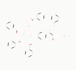 CCCCCCOc1c(OCc2ccccc2)c2ccc(O[C@@H]3O[C@H](COC(=O)c4ccccc4)[C@H](OC(=O)c4ccccc4)[C@H](OC(=O)c4ccccc4)[C@H]3OC(=O)c3ccccc3)cc2oc1=O